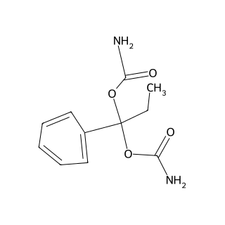 CCC(OC(N)=O)(OC(N)=O)c1ccccc1